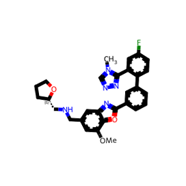 COc1cc(CNC[C@@H]2CCCO2)cc2nc(-c3cccc(-c4ccc(F)cc4-c4nncn4C)c3)oc12